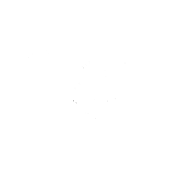 COC(=O)C1=C(C)NC2=C(C(=O)CC(c3cccs3)C2)C1c1ccc(Cl)c(Cl)c1